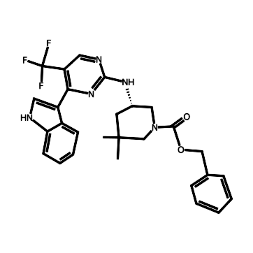 CC1(C)C[C@H](Nc2ncc(C(F)(F)F)c(-c3c[nH]c4ccccc34)n2)CN(C(=O)OCc2ccccc2)C1